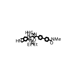 CCN(CC)C(=O)Oc1c(-c2ccc(-c3ccc(C(=O)NC)cc3)cc2)nn(C)c1-c1nc2cc3c(cc2[nH]1)CNC3